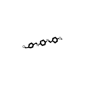 COc1ccc(C=Nc2ccc(N=Cc3ccc(C=O)cc3)cc2)cc1